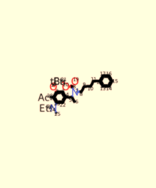 CCOc1cc(C(C)N(CCCCc2ccccc2)C(=O)OC(C)(C)C)cc(N(C)CC)c1C(C)=O